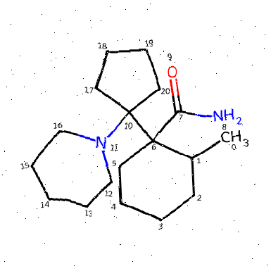 CC1CCCCC1(C(N)=O)C1(N2CCCCC2)CCCC1